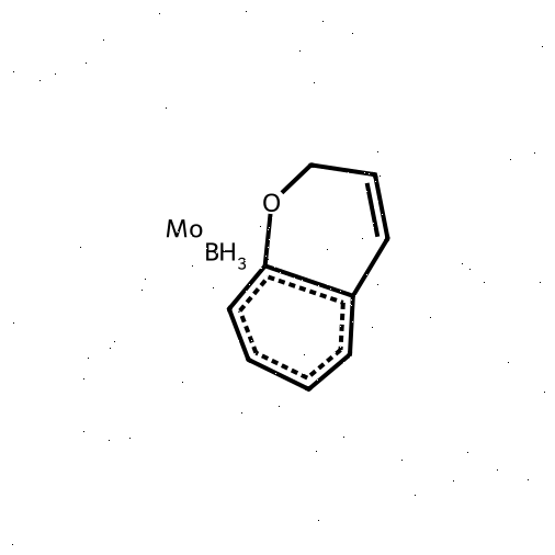 B.C1=Cc2ccccc2OC1.[Mo]